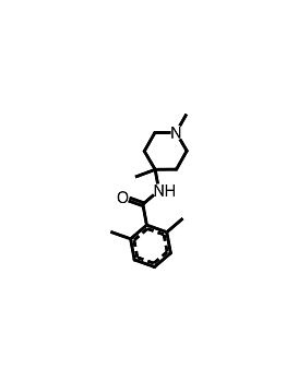 Cc1cccc(C)c1C(=O)NC1(C)CCN(C)CC1